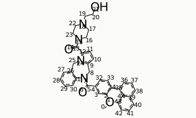 COc1cc(C(=O)N2Cc3ccc(C(=O)N4CCN(CCO)CC4)n3Cc3ccccc32)ccc1-c1cccc2ccccc12